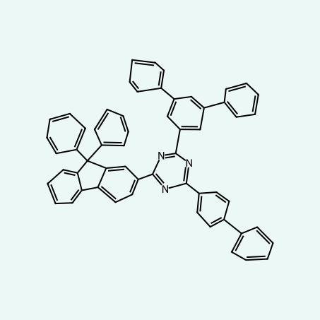 c1ccc(-c2ccc(-c3nc(-c4cc(-c5ccccc5)cc(-c5ccccc5)c4)nc(-c4ccc5c(c4)C(c4ccccc4)(c4ccccc4)c4ccccc4-5)n3)cc2)cc1